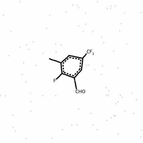 Cc1cc(C(F)(F)F)cc(C=O)c1F